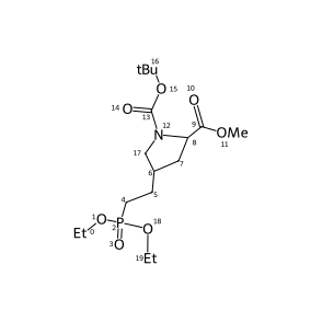 CCOP(=O)(CCC1CC(C(=O)OC)N(C(=O)OC(C)(C)C)C1)OCC